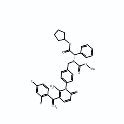 C=C(c1ccc(F)cc1F)c1ccc(=O)n(-c2ccc(CN(C(=O)OC(C)(C)C)[C@H](C(=O)OC3CCCC3)c3ccccc3)cc2)c1N